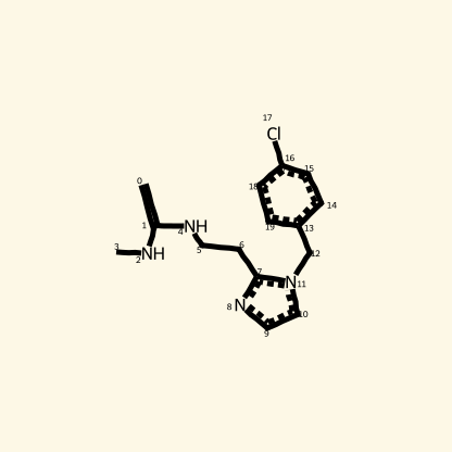 C=C(NC)NCCc1nccn1Cc1ccc(Cl)cc1